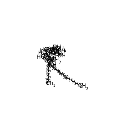 CCCCCCCCCCCCCCCCCCCCCCCCNC(CCCCCCCCCCCC)CO[C@@H]1OC(CO)[C@@H](O[C@@H]2OC(CO[C@]3(O)C[C@@H](O)[C@@H](C)C([C@H](O)[C@H](O)CO)O3)[C@H](O)[C@H](O)C2O)[C@H](O)C1NC(C)=O